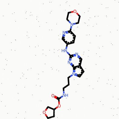 O=C(NCCCn1ccc2cnc(Nc3ccc(N4CCOCC4)nc3)nc21)OC1CCOC1